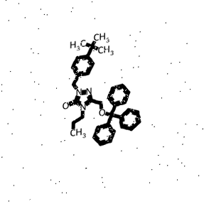 CCCn1c(COC(c2ccccc2)(c2ccccc2)c2ccccc2)nn(Cc2ccc(C(C)(C)C)cc2)c1=O